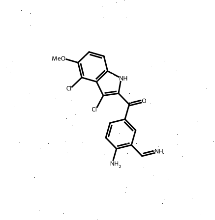 COc1ccc2[nH]c(C(=O)c3ccc(N)c(C=N)c3)c(Cl)c2c1Cl